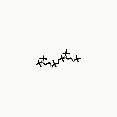 CC(C)(CCC(C)(C)N(CCOC(C)(C)C)C(C)(C)C)/N=C/CN(C(C)(C)C)C(C)(C)C